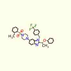 Cc1ccccc1S(=O)(=O)N1CCN(c2ccc3nc(C(C)Oc4ccccc4)n(Cc4ccc(C(F)(F)F)cc4)c3c2)CC1